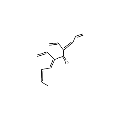 C=C/C=C(\C=C)C(=O)/C(C=C)=C/C=C\C